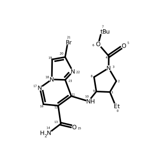 CCC1CN(C(=O)OC(C)(C)C)CC1Nc1c(C(N)=O)cnn2cc(Br)nc12